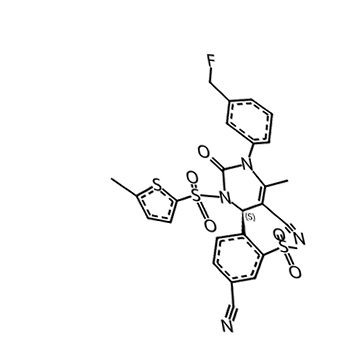 CC1=C(C#N)[C@@H](c2ccc(C#N)cc2S(C)(=O)=O)N(S(=O)(=O)c2ccc(C)s2)C(=O)N1c1cccc(CF)c1